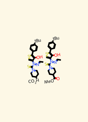 CC=NN(C(=S)N1CCC(C(=O)O)CC1)c1csc(-c2ccc(C(C)(C)C)cc2)c1O.CC=NN(C(=S)N1CCC(C(=O)OC)CC1)c1csc(-c2ccc(C(C)(C)C)cc2)c1O